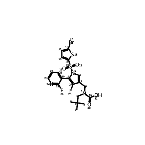 CC(C)(C)CN(Cc1cn(S(=O)(=O)c2ccc(Br)s2)c(-c2cccnc2F)c1F)C(=O)O